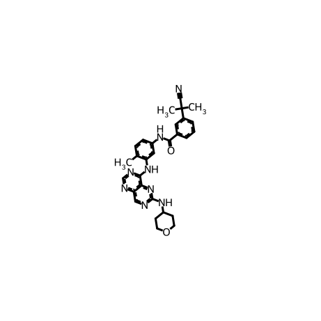 Cc1ccc(NC(=O)c2cccc(C(C)(C)C#N)c2)cc1Nc1ncnc2cnc(NC3CCOCC3)nc12